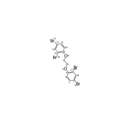 Brc1ccc(OCCOc2ccc(Br)cc2Br)c(Br)c1